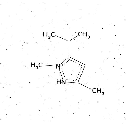 Cc1cc(C(C)C)[n+](C)[nH]1